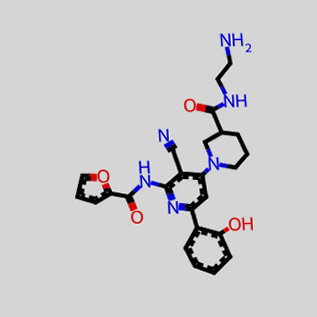 N#Cc1c(N2CCCC(C(=O)NCCN)C2)cc(-c2ccccc2O)nc1NC(=O)c1ccco1